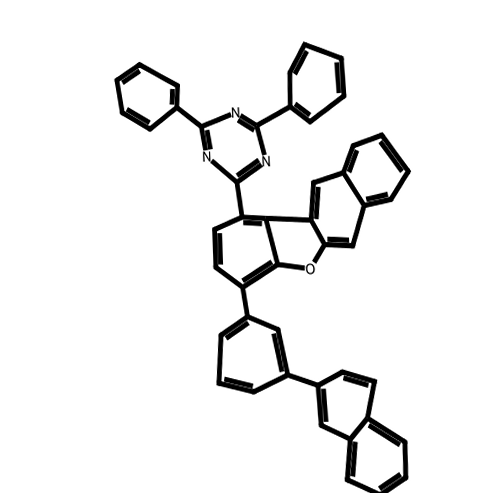 c1ccc(-c2nc(-c3ccccc3)nc(-c3ccc(-c4cccc(-c5ccc6ccccc6c5)c4)c4oc5cc6ccccc6cc5c34)n2)cc1